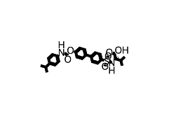 CC(C)c1ccc(NC(=O)Oc2ccc(-c3ccc(S(=O)(=O)N[C@@H](C(=O)O)C(C)C)cc3)cc2)cc1